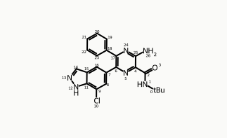 CC(C)(C)NC(=O)c1nc(-c2cc(Cl)c3[nH]ncc3c2)c(-c2ccccc2)nc1N